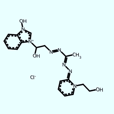 CC(N=NCC(O)[n+]1cn(O)c2ccccc21)=NN=c1ccccn1CCO.[Cl-]